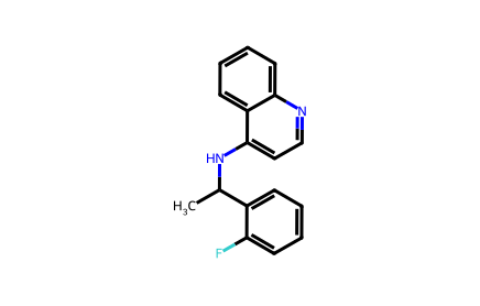 CC(Nc1ccnc2ccccc12)c1ccccc1F